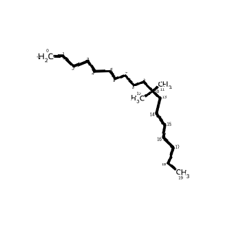 [CH2]CCCCCCCCCC(C)(C)CCCCCCC